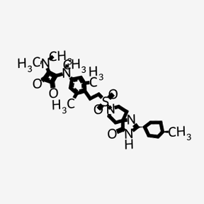 Cc1cc(N(C)c2c(N(C)C)c(=O)c2=O)cc(C)c1CCS(=O)(=O)N1CCC2(CC1)N=C([C@H]1CC[C@H](C)CC1)NC2=O